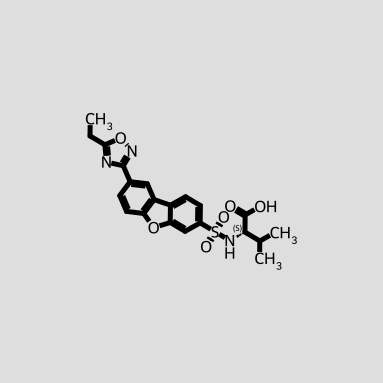 CCc1nc(-c2ccc3oc4cc(S(=O)(=O)N[C@H](C(=O)O)C(C)C)ccc4c3c2)no1